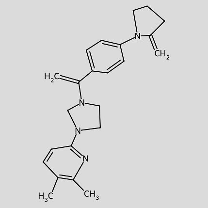 C=C(c1ccc(N2CCCC2=C)cc1)N1CCN(c2ccc(C)c(C)n2)C1